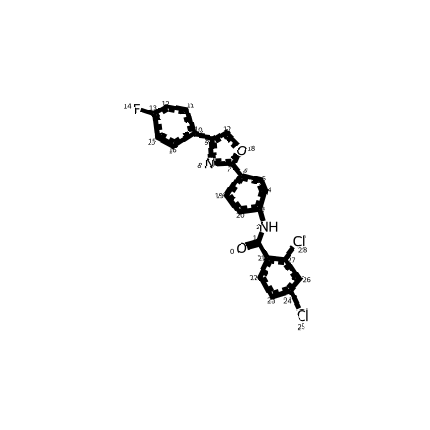 O=C(Nc1ccc(-c2nc(-c3ccc(F)cc3)co2)cc1)c1ccc(Cl)cc1Cl